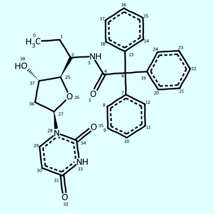 CCC(NC(=O)C(c1ccccc1)(c1ccccc1)c1ccccc1)[C@H]1O[C@@H](n2ccc(=O)[nH]c2=O)C[C@@H]1O